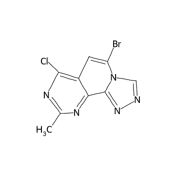 Cc1nc(Cl)c2cc(Br)n3cnnc3c2n1